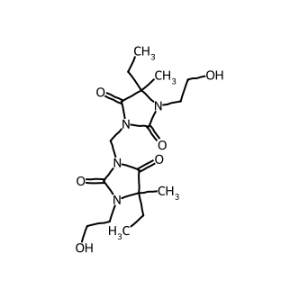 CCC1(C)C(=O)N(CN2C(=O)N(CCO)C(C)(CC)C2=O)C(=O)N1CCO